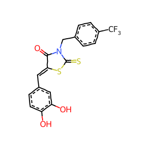 O=C1C(=Cc2ccc(O)c(O)c2)SC(=S)N1Cc1ccc(C(F)(F)F)cc1